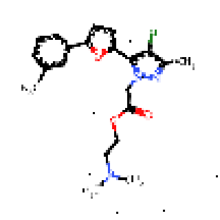 Cc1cccc(-c2ccc(-c3c(Cl)c(C)nn3CC(=O)OCCN(C)C)o2)c1